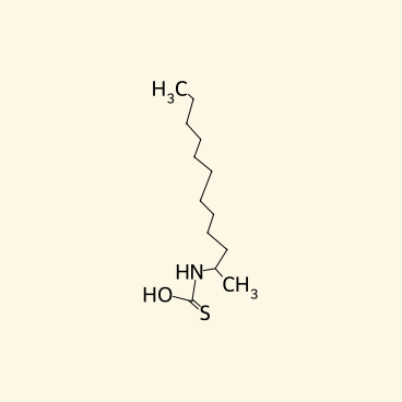 CCCCCCCCCCC(C)NC(O)=S